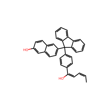 C/C=C\C=C(\O)c1ccc(C2(c3ccc4cc(O)ccc4c3)c3ccccc3-c3ccccc32)cc1